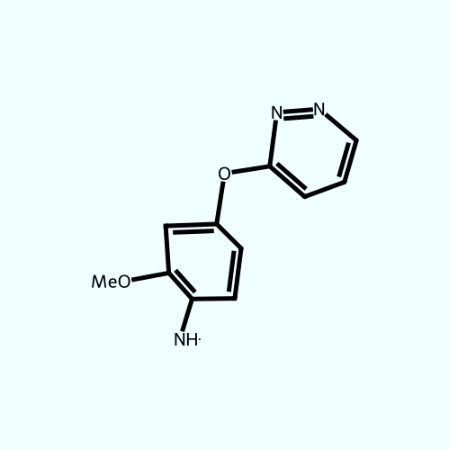 COc1cc(Oc2cccnn2)ccc1[NH]